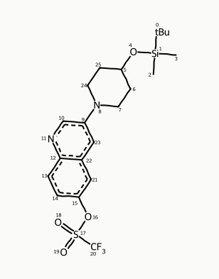 CC(C)(C)[Si](C)(C)OC1CCN(c2cnc3ccc(OS(=O)(=O)C(F)(F)F)cc3c2)CC1